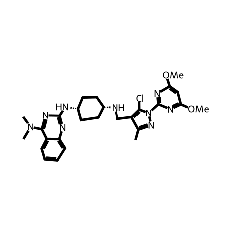 COc1cc(OC)nc(-n2nc(C)c(CN[C@H]3CC[C@@H](Nc4nc(N(C)C)c5ccccc5n4)CC3)c2Cl)n1